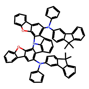 CC1(C)c2ccccc2-c2cc(N(c3ccccc3)c3cc4c5ccccc5oc4c4c3c3cccc5c6c(N(c7ccccc7)c7ccc8c(c7)-c7ccccc7C8(C)C)cc7c8ccccc8oc7c6n4c35)ccc21